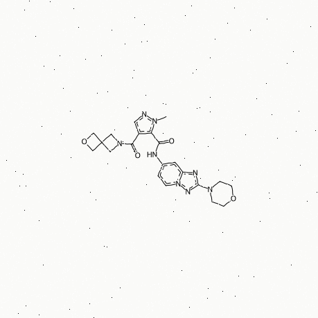 Cn1ncc(C(=O)N2CC3(COC3)C2)c1C(=O)Nc1ccn2nc(N3CCOCC3)nc2c1